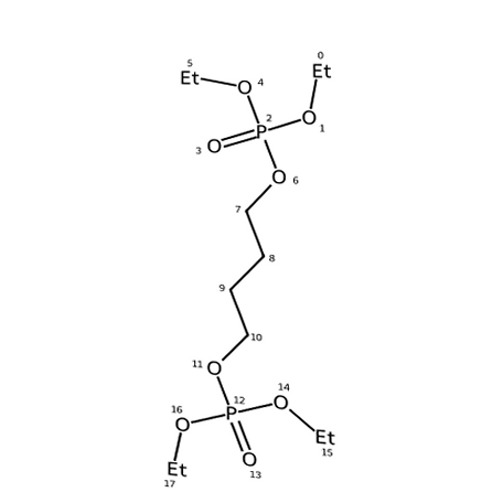 CCOP(=O)(OCC)OCCCCOP(=O)(OCC)OCC